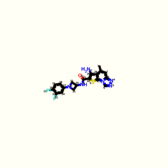 Cc1cc2nncn2c2sc(C(=O)NC3CN(c4ccc(F)c(F)c4)C3)c(N)c12